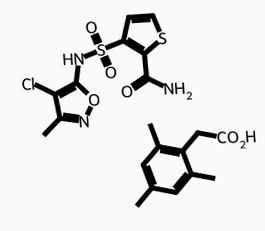 Cc1cc(C)c(CC(=O)O)c(C)c1.Cc1noc(NS(=O)(=O)c2ccsc2C(N)=O)c1Cl